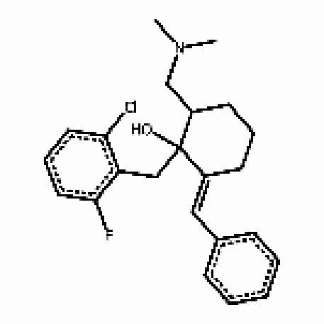 CN(C)CC1CCCC(=Cc2ccccc2)C1(O)Cc1c(F)cccc1Cl